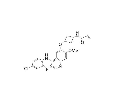 C=CC(=O)NC1CC(Oc2cc3c(Nc4ccc(Cl)cc4F)ncnc3cc2OC)C1